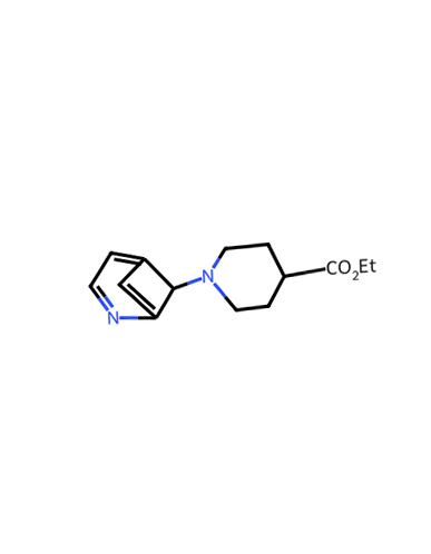 CCOC(=O)C1CCN(C2C3=CC=NC2=C3)CC1